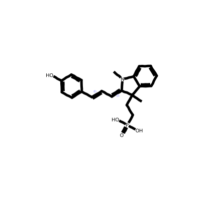 CN1/C(=C\C=C\c2ccc(O)cc2)C(C)(CCP(=O)(O)O)c2ccccc21